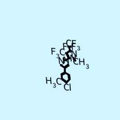 Cc1cc(-c2cnn(-c3c(C(F)(F)F)c(C(F)(F)C(F)(F)F)nn3C)c2)ccc1Cl